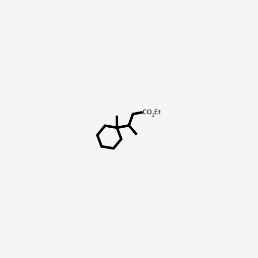 CCOC(=O)CC(C)C1(C)CCCCC1